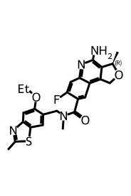 CCOc1cc2nc(C)sc2cc1CN(C)C(=O)c1cc2c3c(c(N)nc2cc1F)[C@@H](C)OC3